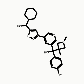 CC(C)c1ccc(C(O)(c2cncc(-c3noc(C(O)C4CCCCC4)n3)c2)C2(C)CN(C)C2)cc1